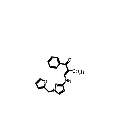 O=C(O)C(=CNc1ccn(Cc2ccco2)n1)C(=O)c1ccccc1